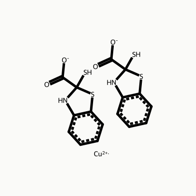 O=C([O-])C1(S)Nc2ccccc2S1.O=C([O-])C1(S)Nc2ccccc2S1.[Cu+2]